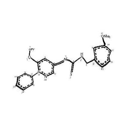 CCCOc1cc(=NC(=S)NCc2cccc(OC)c2)cnn1-c1ccccc1